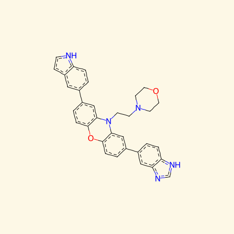 c1cc2cc(-c3ccc4c(c3)N(CCN3CCOCC3)c3cc(-c5ccc6[nH]cnc6c5)ccc3O4)ccc2[nH]1